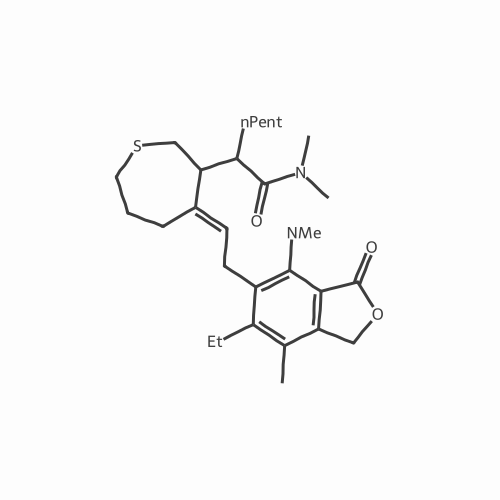 CCCCCC(C(=O)N(C)C)C1CSCCC/C1=C\Cc1c(CC)c(C)c2c(c1NC)C(=O)OC2